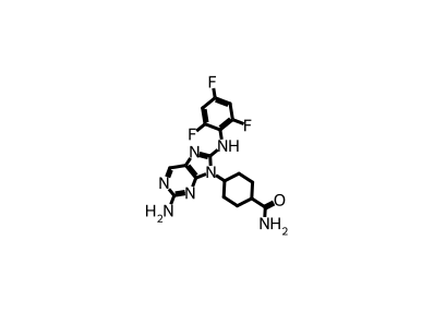 NC(=O)C1CCC(n2c(Nc3c(F)cc(F)cc3F)nc3cnc(N)nc32)CC1